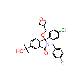 CC(C)(O)c1ccc2c(c1)C(=O)N(Cc1ccc(Cl)cc1)[C@@]2(OCC1COC1)c1ccc(Cl)cc1